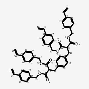 C=Cc1ccc(COC(=O)C(Cc2ccc(CC(C(=O)OCc3ccc(C=C)cc3)C(=O)OCc3ccc(C=C)cc3)cc2)C(=O)OCc2ccc(C=C)cc2)cc1